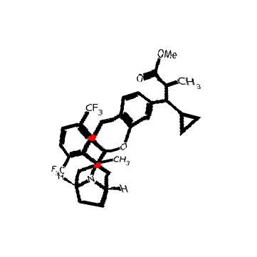 COC(=O)C(C)C(c1ccc2c(c1)OC(C1C[C@H]3CC[C@@H](C1)N3C(C)c1cc(C(F)(F)F)ccc1C(F)(F)F)CC2)C1CC1